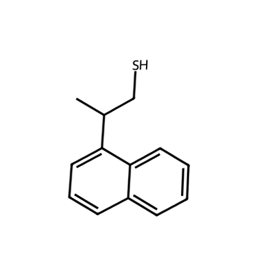 CC(CS)c1cccc2ccccc12